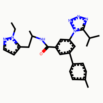 CCn1nccc1CC(C)NC(=O)c1cc(-c2ccc(C)cc2)cc(-n2nnnc2C(C)C)c1